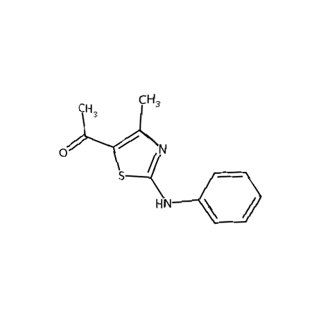 CC(=O)c1sc(Nc2ccccc2)nc1C